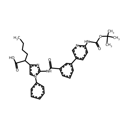 CCCCC(C(=O)O)c1cn(-c2ccccc2)c(NC(=O)c2cccc(-c3ccc(NC(=O)OC(C)(C)C)nc3)c2)n1